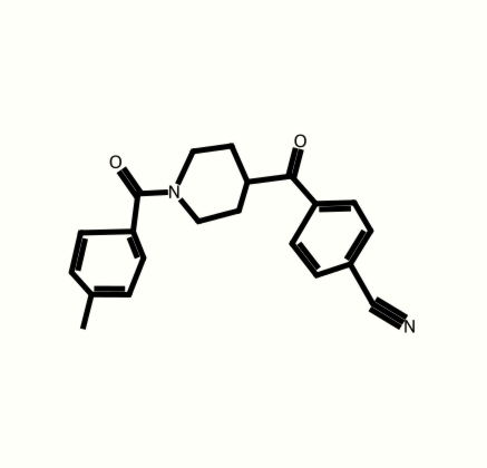 Cc1ccc(C(=O)N2CCC(C(=O)c3ccc(C#N)cc3)CC2)cc1